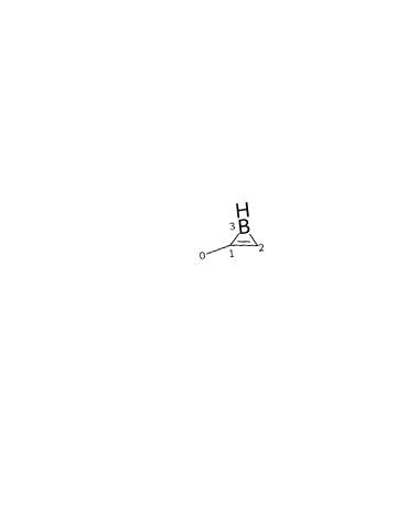 CC1=CB1